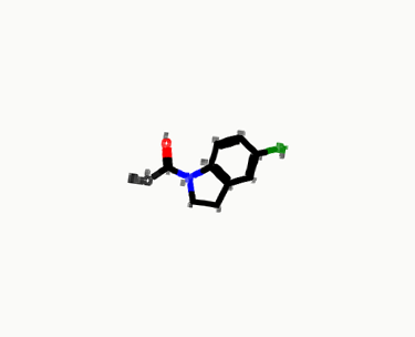 CC(C)COC(=O)N1CCc2cc(Br)ccc21